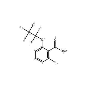 COC(=O)c1c(F)cccc1OC(F)(F)C(F)(F)Br